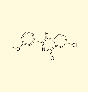 COc1cccc(-c2nc(=O)c3cc(Cl)ccc3[nH]2)c1